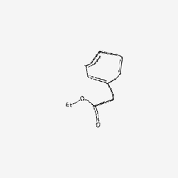 CCOC(=O)Cc1c[c]ccc1